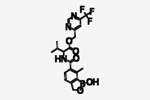 Cc1c(C(=O)NC(C(=O)OCc2cc(C(F)(F)F)ncn2)C(C)C)ccc2c1B(O)OC2